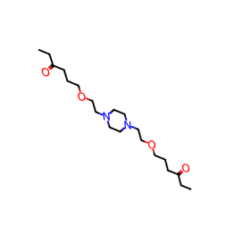 CCC(=O)CCCOCCN1CCN(CCOCCCC(=O)CC)CC1